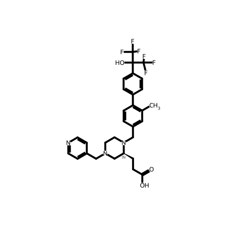 Cc1cc(CN2CCN(Cc3ccncc3)C[C@@H]2CCC(=O)O)ccc1-c1ccc(C(O)(C(F)(F)F)C(F)(F)F)cc1